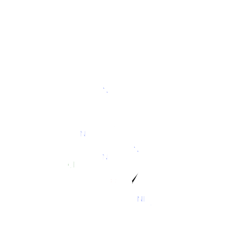 NC(=O)[C@@H]1CCCN1c1nc(Cl)nc2c1CCN(Cc1ccccc1)C2